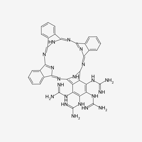 N=C(N)Nc1c(NC(=N)N)c(NC(=N)N)c2c3nc4nc(nc5[nH]c(nc6nc(nc([nH]3)c2c1NC(=N)N)-c1ccccc1-6)c1ccccc51)-c1ccccc1-4